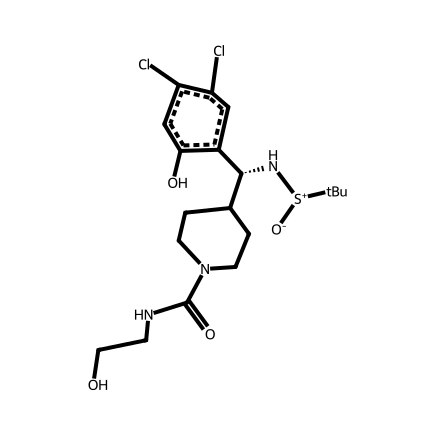 CC(C)(C)[S+]([O-])N[C@@H](c1cc(Cl)c(Cl)cc1O)C1CCN(C(=O)NCCO)CC1